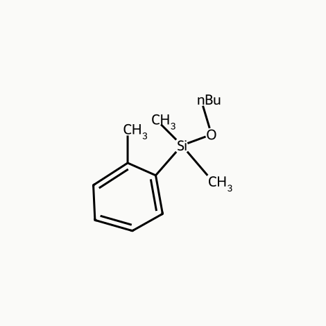 CCCCO[Si](C)(C)c1ccccc1C